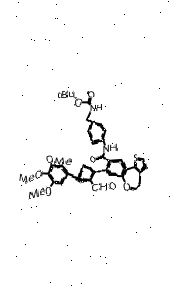 COc1cc(-c2ccc(-c3cc4c(cc3C(=O)Nc3ccc(CNC(=O)OC(C)(C)C)cc3)-c3sccc3CCO4)c(C=O)c2)cc(OC)c1OC